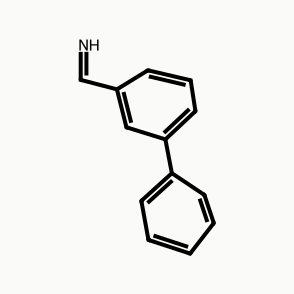 N=Cc1cccc(-c2ccccc2)c1